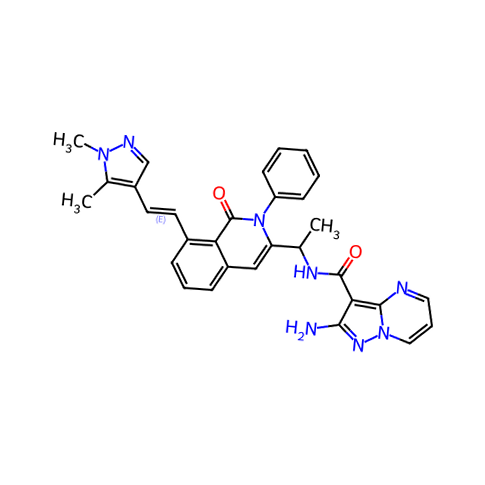 Cc1c(/C=C/c2cccc3cc(C(C)NC(=O)c4c(N)nn5cccnc45)n(-c4ccccc4)c(=O)c23)cnn1C